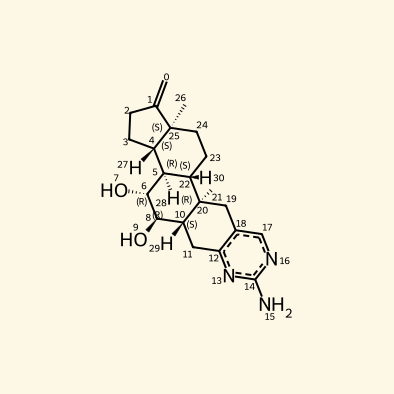 C=C1CC[C@H]2[C@@H]3[C@@H](O)[C@H](O)[C@H]4Cc5nc(N)ncc5C[C@]4(C)[C@H]3CC[C@]12C